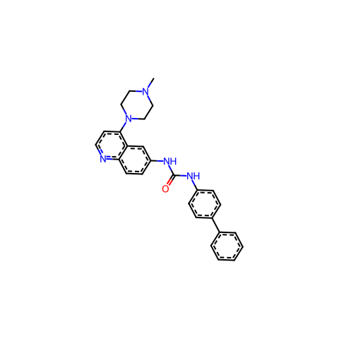 CN1CCN(c2ccnc3ccc(NC(=O)Nc4ccc(-c5ccccc5)cc4)cc23)CC1